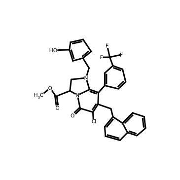 COC(=O)C1CN(Cc2cccc(O)c2)c2c(-c3cccc(C(F)(F)F)c3)c(Cc3cccc4ccccc34)c(Cl)c(=O)n21